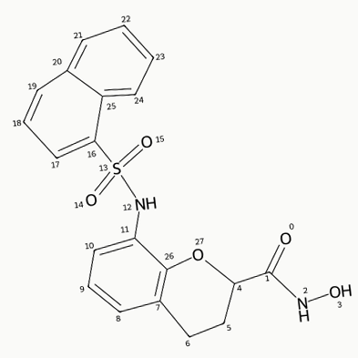 O=C(NO)C1CCc2cccc(NS(=O)(=O)c3cccc4ccccc34)c2O1